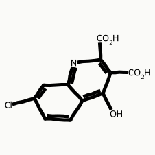 O=C(O)c1nc2cc(Cl)ccc2c(O)c1C(=O)O